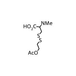 CNC(CSSCCOC(C)=O)C(=O)O